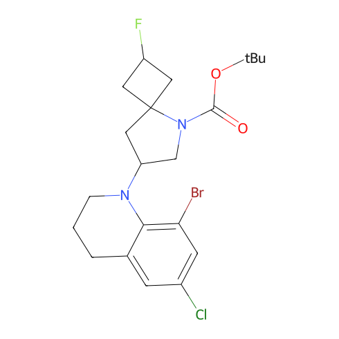 CC(C)(C)OC(=O)N1CC(N2CCCc3cc(Cl)cc(Br)c32)CC12CC(F)C2